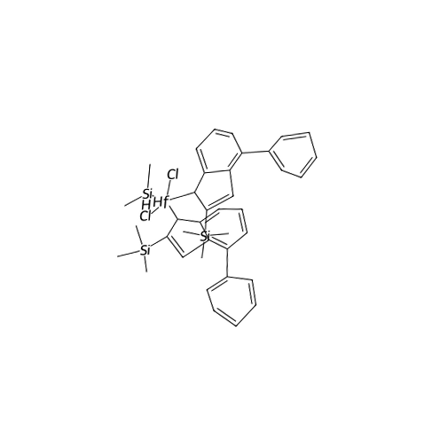 C[SiH](C)[Hf]([Cl])([Cl])([CH]1C([Si](C)(C)C)=Cc2c(-c3ccccc3)cccc21)[CH]1C([Si](C)(C)C)=Cc2c(-c3ccccc3)cccc21